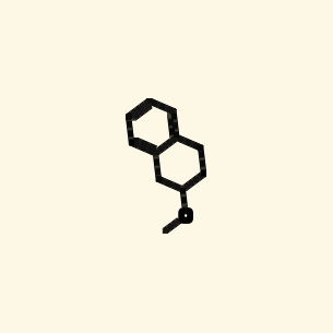 COC1CCc2ccccc2C1